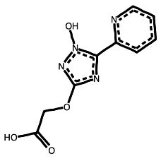 O=C(O)COc1nc(-c2ccccn2)n(O)n1